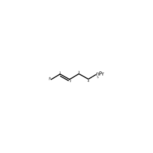 [CH2]/C=C/CCCCC